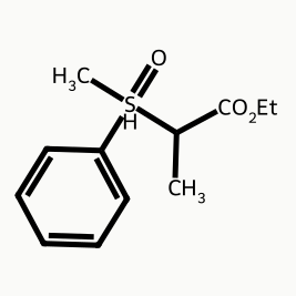 CCOC(=O)C(C)[SH](C)(=O)c1ccccc1